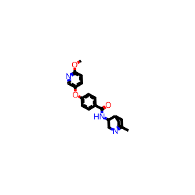 COc1ccc(Oc2ccc(C(=O)NC3CN4CCC3CC4C)cc2)cn1